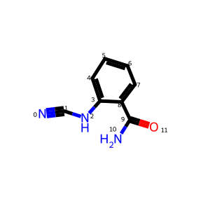 N#CNc1ccccc1C(N)=O